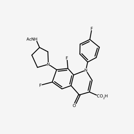 CC(=O)NC1CCN(c2c(F)cc3c(=O)c(C(=O)O)cn(-c4ccc(F)cc4)c3c2F)C1